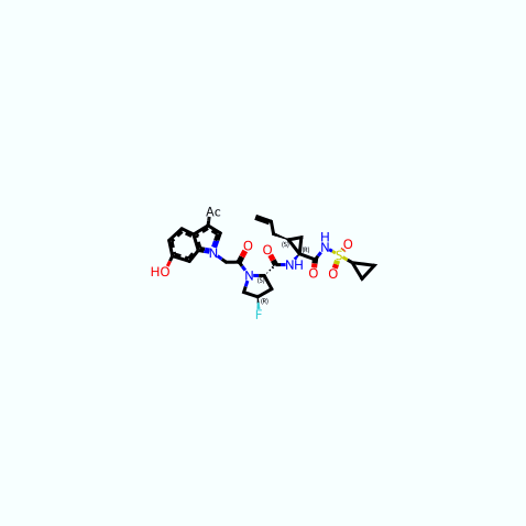 C=CC[C@H]1C[C@]1(NC(=O)[C@@H]1C[C@@H](F)CN1C(=O)Cn1cc(C(C)=O)c2ccc(O)cc21)C(=O)NS(=O)(=O)C1CC1